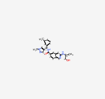 Cc1cccc([C@H](NC(=O)c2ccc3cnc(N[C@@H](C)CO)cc3c2)c2cnn(C)c2)c1